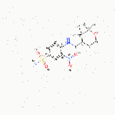 CC1(C)OCCC(CNc2ccc(S(N)(=O)=O)cc2[N+](=O)[O-])C1(C)C